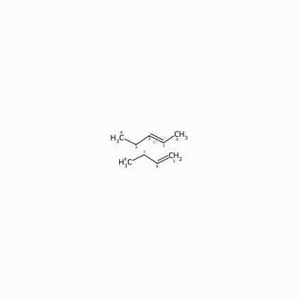 C/C=C/CC.C=CCC